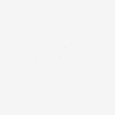 Cc1cnn2c(N)cc(-c3cncc(F)c3)nc12